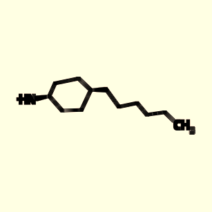 CCCCCC[C@H]1CC[C@@H]([NH])CC1